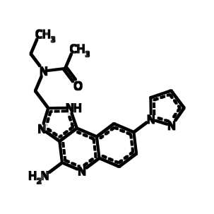 CCN(Cc1nc2c(N)nc3ccc(-n4cccn4)cc3c2[nH]1)C(C)=O